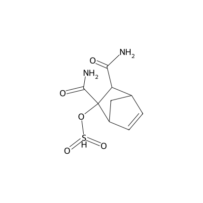 NC(=O)C1C2C=CC(C2)C1(O[SH](=O)=O)C(N)=O